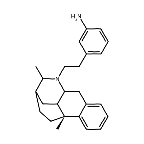 CC1C2CC[C@@]3(C)c4ccccc4CC(C3C2)N1CCc1cccc(N)c1